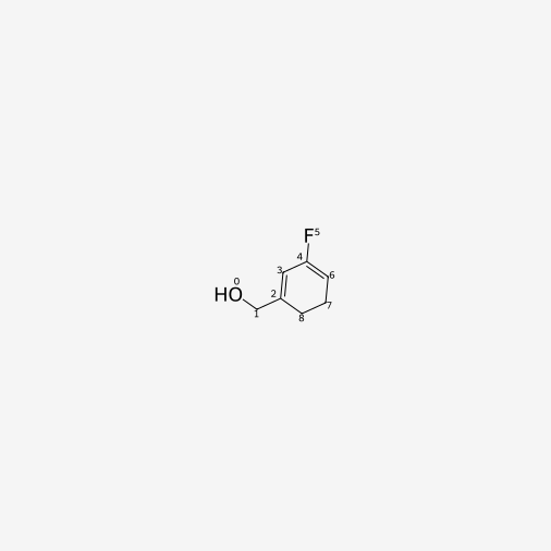 OCC1=CC(F)=CCC1